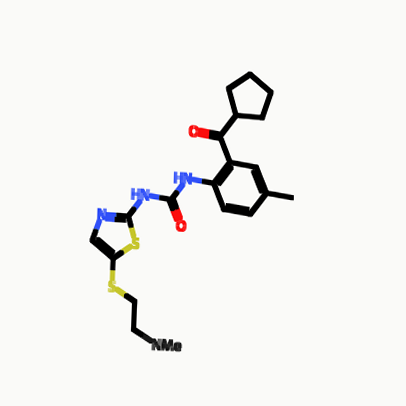 CNCCSc1cnc(NC(=O)Nc2ccc(C)cc2C(=O)C2CCCC2)s1